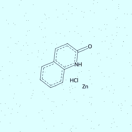 Cl.O=c1ccc2ccccc2[nH]1.[Zn]